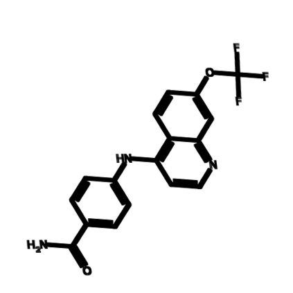 NC(=O)c1ccc(Nc2ccnc3cc(OC(F)(F)F)ccc23)cc1